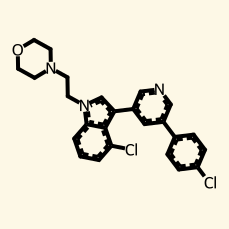 Clc1ccc(-c2cncc(-c3cn(CCN4CCOCC4)c4cccc(Cl)c34)c2)cc1